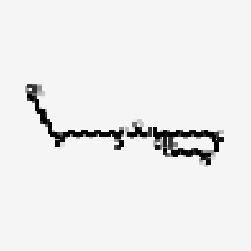 CCCCCCCCC1OC1CCCCCCCC(=O)OCC(O)COC(=O)CCCCCCCC1OC1C[C@@H]1OC1CCCCC